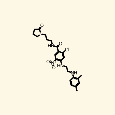 Cc1ccc(NCCNc2cc(Cl)c(C(=O)NCCCN3CCCC3=O)cc2[N+](=O)[O-])c(C)c1